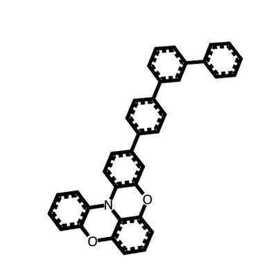 c1ccc(-c2cccc(-c3ccc(-c4ccc5c(c4)Oc4cccc6c4N5c4ccccc4O6)cc3)c2)cc1